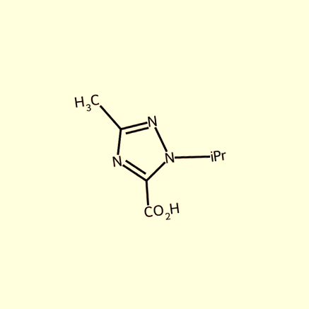 Cc1nc(C(=O)O)n(C(C)C)n1